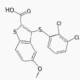 COc1ccc2sc(C(=O)O)c(Sc3cccc(Cl)c3Cl)c2c1